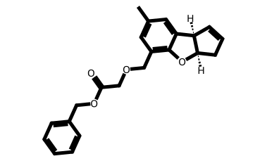 Cc1cc(COCC(=O)OCc2ccccc2)c2c(c1)[C@H]1C=CC[C@H]1O2